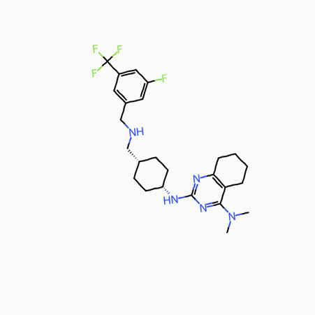 CN(C)c1nc(N[C@H]2CC[C@@H](CNCc3cc(F)cc(C(F)(F)F)c3)CC2)nc2c1CCCC2